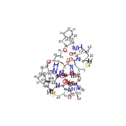 C[C@@H](C(=O)N[C@H]1CCS[C@H]2CC(C)(C)[C@@H](C(=O)N[C@H]3c4ccccc4C[C@H]3OCC=CCO[C@@H]3Cc4ccccc4[C@@H]3NC(=O)[C@H]3N4C(=O)[C@@H](NC(=O)[C@H](C)N(C)C(=O)OC(C)(C)C)CCS[C@H]4CC3(C)C)N2C1=O)N(C)C(=O)OC(C)(C)C